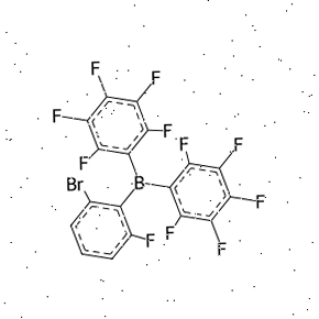 Fc1cccc(Br)c1B(c1c(F)c(F)c(F)c(F)c1F)c1c(F)c(F)c(F)c(F)c1F